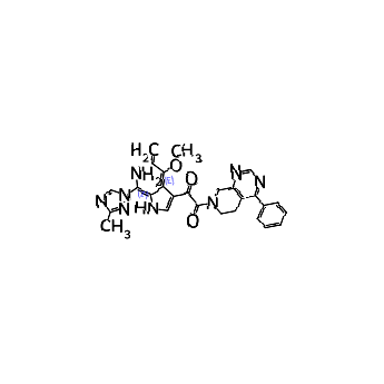 C=C/C(OC)=c1/c(C(=O)C(=O)N2CCc3c(ncnc3-c3ccccc3)C2)c[nH]/c1=C(/N)n1cnc(C)n1